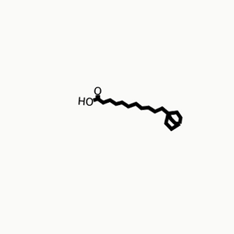 O=C(O)CCCCCCCCCCC12CCC(CC1)CC2